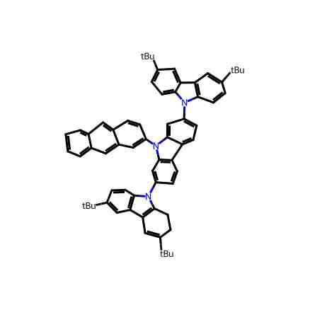 CC(C)(C)C1=Cc2c(n(-c3ccc4c5ccc(-n6c7ccc(C(C)(C)C)cc7c7cc(C(C)(C)C)ccc76)cc5n(-c5ccc6cc7ccccc7cc6c5)c4c3)c3ccc(C(C)(C)C)cc23)CC1